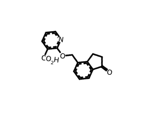 O=C(O)c1cccnc1OCc1cccc2c1CCC2=O